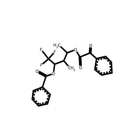 CC(OC(=O)C(=O)c1ccccc1)C(C)C(OC(=O)c1ccccc1)C(F)(F)F